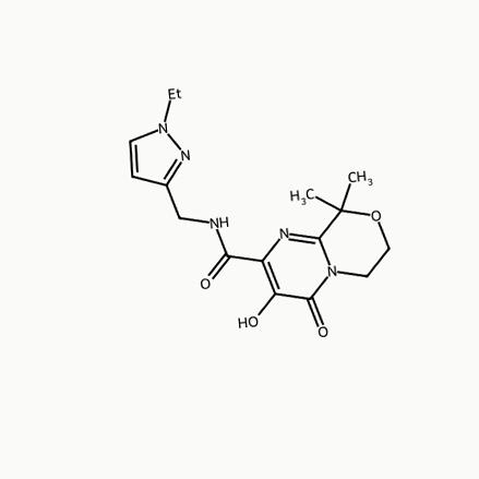 CCn1ccc(CNC(=O)c2nc3n(c(=O)c2O)CCOC3(C)C)n1